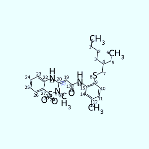 CCCCC(CC)CSc1ccc(C)cc1NC(=O)/C=C1/Nc2ccccc2S(=O)(=O)N1C